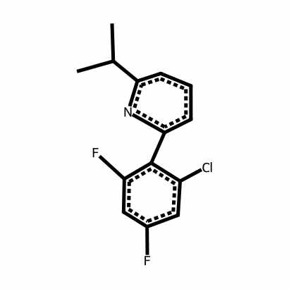 CC(C)c1cccc(-c2c(F)cc(F)cc2Cl)n1